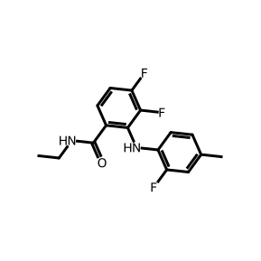 CCNC(=O)c1ccc(F)c(F)c1Nc1ccc(C)cc1F